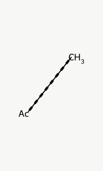 CC#CC#CC#CC#CC#CC#CC#CC#CC(C)=O